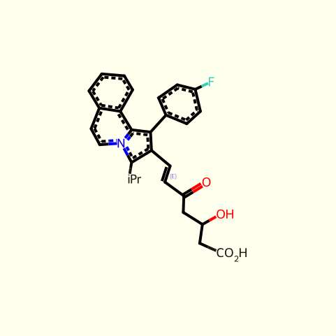 CC(C)c1c(/C=C/C(=O)CC(O)CC(=O)O)c(-c2ccc(F)cc2)c2c3ccccc3ccn12